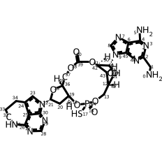 NCc1nc(N)c2ncn([C@@H]3O[C@@H]4COP(=O)(S)O[C@H]5C[C@H](n6cc7c8c(ncnc86)NCCC7)O[C@@H]5COC(=O)O[C@@H]3[C@@H]4O)c2n1